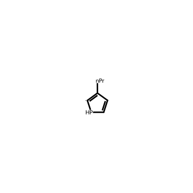 CCCc1[c][pH]cc1